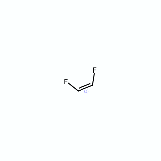 F/C=C\F